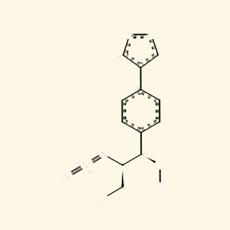 CO[C@H](c1ccc(-c2cnoc2)cc1)[C@@H](CF)N=[N+]=[N-]